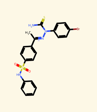 C/C(=N\N(C(N)=S)c1ccc(Br)cc1)c1ccc(S(=O)(=O)Nc2ccccc2)cc1